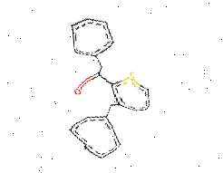 O=C(c1ccccc1)c1sccc1-c1ccccc1